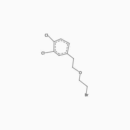 Clc1ccc(CCOCCBr)cc1Cl